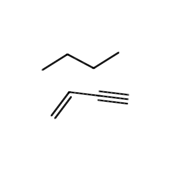 C#CC=C.CCCC